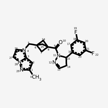 Cc1cc2n(CC34CC(C(=O)N5N=CCC5c5cc(F)cc(F)c5)(C3)C4)ccn2n1